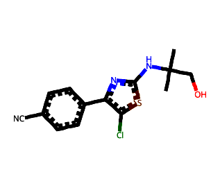 CC(C)(CO)Nc1nc(-c2ccc(C#N)cc2)c(Cl)s1